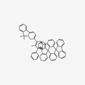 Cc1c(C2=CC=C3c4ccccc4C(C)(C)C3C2)cc(-c2cccc3c2C2(C4=C(CCC=C4)c4ccccc42)c2ccccc2C32c3ccccc3-c3ccccc32)nc1-c1ccccc1